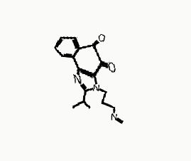 C=NCCCn1c(C(C)C)nc2c1C(=O)C(=O)c1ccccc1-2